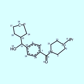 CC(C)N1CCN(C(=O)c2ccc(C(O)C3CCCCC3)cc2)CC1